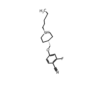 CCCCC[Si@H]1CC[C@H](COc2ccc(C#N)c(F)c2)CC1